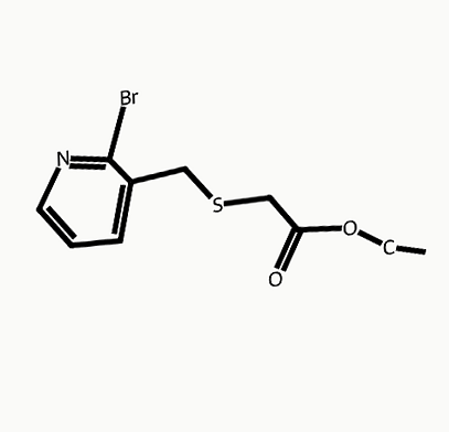 CCOC(=O)CSCc1cccnc1Br